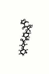 Cc1ocnc1C(=O)C1NCC1(C)Oc1ccc(NC(=O)N2CC(c3cccnc3)C2)cc1